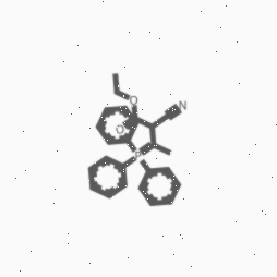 CCOC(=O)C(C#N)C(C)=P(c1ccccc1)(c1ccccc1)c1ccccc1